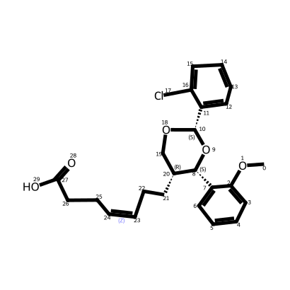 COc1ccccc1[C@H]1O[C@@H](c2ccccc2Cl)OC[C@H]1CC/C=C\CCC(=O)O